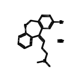 Br.CN(C)CCC=C1c2cc(Br)ccc2CSc2ccccc21